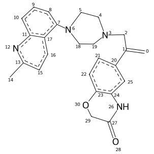 C=C(CN1CCN(c2cccc3nc(C)ccc23)CC1)c1ccc2c(c1)NC(=O)CO2